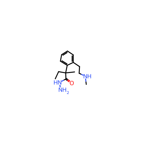 CCC(C)(C(=O)NN)c1ccccc1CCNC